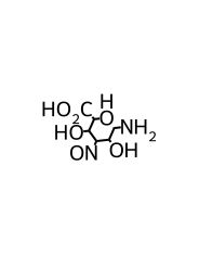 NCC(O)C(N=O)C(O)C(O)C(=O)O